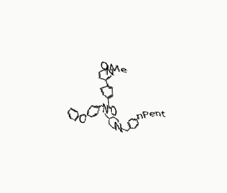 CCCCCc1ccc(CN2CCC(CN(Cc3ccc(Oc4ccccc4)cc3)C(=O)c3ccc(-c4ccc(OC)nc4)cc3)CC2)cc1